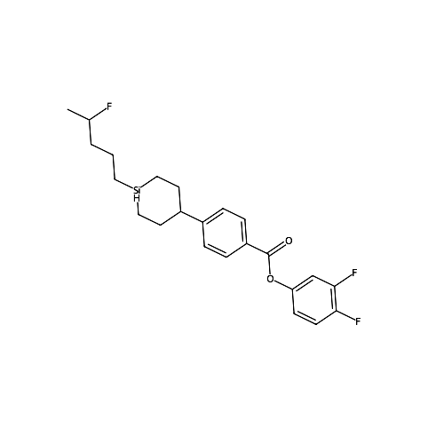 CC(F)CCC[SiH]1CCC(c2ccc(C(=O)Oc3ccc(F)c(F)c3)cc2)CC1